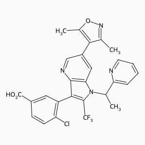 Cc1noc(C)c1-c1cnc2c(-c3cc(C(=O)O)ccc3Cl)c(C(F)(F)F)n(C(C)c3ccccn3)c2c1